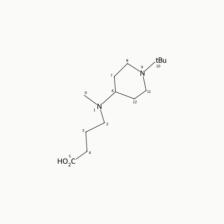 CN(CCCC(=O)O)C1CCN(C(C)(C)C)CC1